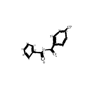 O=C(OC(=O)c1ccc(Cl)cc1)c1ccccc1